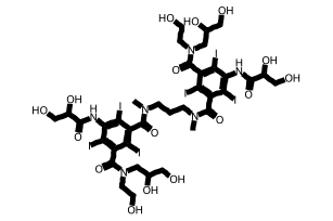 CN(CCCN(C)C(=O)c1c(I)c(NC(=O)C(O)CO)c(I)c(C(=O)N(CCO)CC(O)CO)c1I)C(=O)c1c(I)c(NC(=O)C(O)CO)c(I)c(C(=O)N(CCO)CC(O)CO)c1I